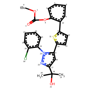 CC(C)(C)OC(=O)Oc1ccccc1-c1ccc(-c2cc(C(C)(C)O)nn2-c2ccccc2Cl)s1